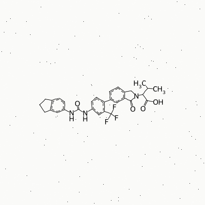 CC(C)C(C(=O)O)N1Cc2ccc(-c3ccc(NC(=O)Nc4ccc5c(c4)CCC5)cc3C(F)(F)F)cc2C1=O